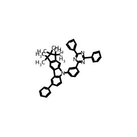 CC1(C)c2cc3c4cc(-c5ccccc5)ccc4n(-c4cccc(-c5nc(-c6ccccc6)nc(-c6ccccc6)n5)c4)c3cc2C(C)(C)C1(C)C